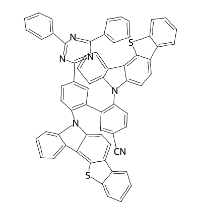 N#Cc1ccc(-n2c3ccccc3c3c4sc5ccccc5c4ccc32)c(-c2cc(-c3nc(-c4ccccc4)nc(-c4ccccc4)n3)ccc2-n2c3ccccc3c3c4sc5ccccc5c4ccc32)c1